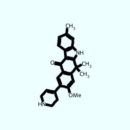 COc1cc2c(cc1C1=CCNCC1)C(=O)c1c([nH]c3cc(C)ccc13)C2(C)C